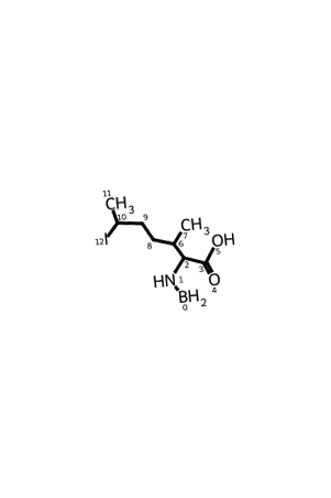 BNC(C(=O)O)C(C)CCC(C)I